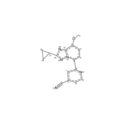 COc1ccc(-c2cc(C#N)ccn2)n2nc(C3CC3)nc12